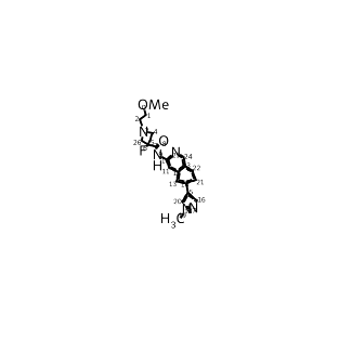 COCCN1CC(F)(C(=O)Nc2cc3cc(-c4cnn(C)c4)ccc3cn2)C1